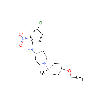 CCOC1CCC(C)(N2CCC(Nc3ccc(Cl)cc3[N+](=O)[O-])CC2)CC1